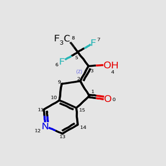 O=C1/C(=C(\O)C(F)(F)C(F)(F)F)Cc2cnccc21